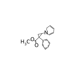 COC(=O)C1(c2ccccc2)CC1N1C=CC=CC1